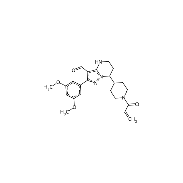 C=CC(=O)N1CCC(C2CCNc3c(C=O)c(-c4cc(OC)cc(OC)c4)nn32)CC1